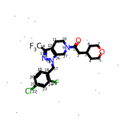 O=C(CC1CCOCC1)N1CCc2c(C(F)(F)F)nn(Cc3ccc(Cl)cc3F)c2C1